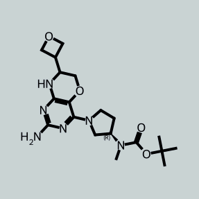 CN(C(=O)OC(C)(C)C)[C@@H]1CCN(c2nc(N)nc3c2OCC(C2COC2)N3)C1